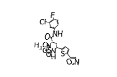 CN1C(C(=O)Nc2ccc(F)c(Cl)c2)CC(c2ccc(-c3cnco3)s2)NS1(=O)=O